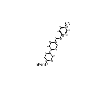 CCCCC[C@H]1CC[C@H](C2CCC(CCc3ccc(C#N)cc3)CC2)CC1